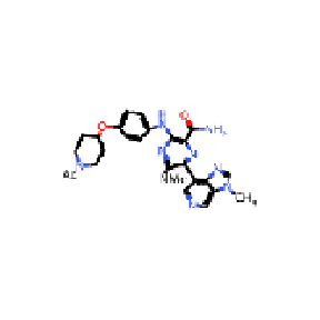 CNc1nc(Nc2ccc(OC3CCN(C(C)=O)CC3)cc2)c(C(N)=O)nc1-c1cncc2c1ncn2C